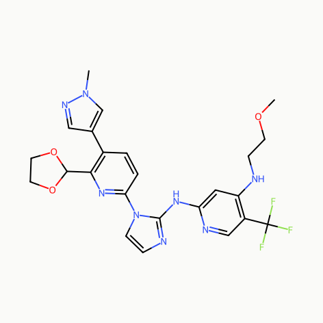 COCCNc1cc(Nc2nccn2-c2ccc(-c3cnn(C)c3)c(C3OCCO3)n2)ncc1C(F)(F)F